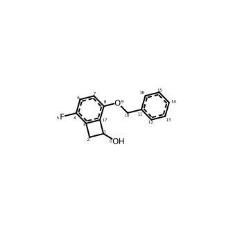 OC1Cc2c(F)ccc(OCc3ccccc3)c21